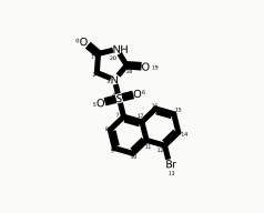 O=C1CN(S(=O)(=O)c2cccc3c(Br)cccc23)C(=O)N1